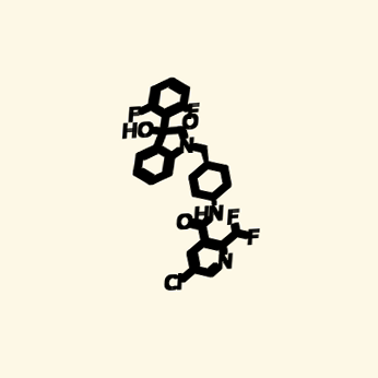 O=C(N[C@H]1CC[C@H](CN2C(=O)C(O)(c3c(F)cccc3F)c3ccccc32)CC1)c1cc(Cl)cnc1C(F)F